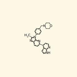 Cc1nc2ccc(-c3ccnc4[nH]ccc34)nc2n1-c1ccc(CN2CCOCC2)cc1